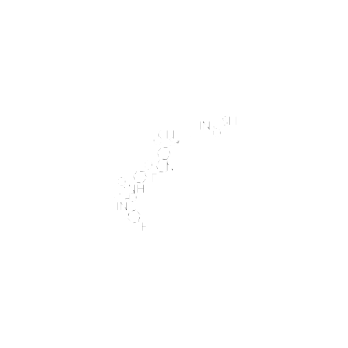 COc1cc2c(Oc3ccc(NC(=O)C4(C(=O)Nc5ccc(F)cc5)CC4)cc3F)ccnc2cc1SCCCCCNC(=O)CS